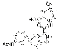 CC(=O)Nc1cccc(-c2ccc3onc(C(=O)Nc4ccc(C#N)cc4C(=O)O)c3c2)c1